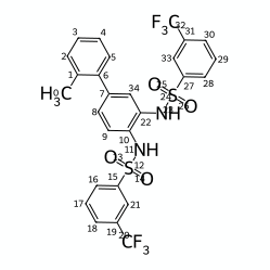 Cc1ccccc1-c1ccc(NS(=O)(=O)c2cccc(C(F)(F)F)c2)c(NS(=O)(=O)c2cccc(C(F)(F)F)c2)c1